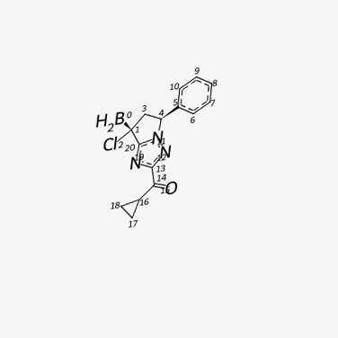 B[C@@]1(Cl)C[C@@H](c2ccccc2)n2nc(C(=O)C3CC3)nc21